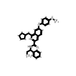 O=C(O)CC(NC(=O)c1cc2ccc(Oc3ccc(OC(F)(F)F)cc3)cc2c(CC2CCCC2)n1)c1ccccc1